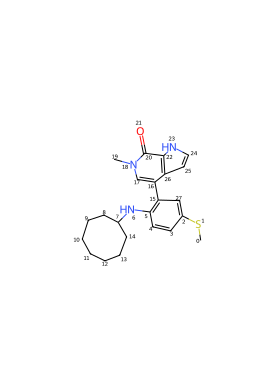 CSc1ccc(NC2CCCCCCC2)c(-c2cn(C)c(=O)c3[nH]ccc23)c1